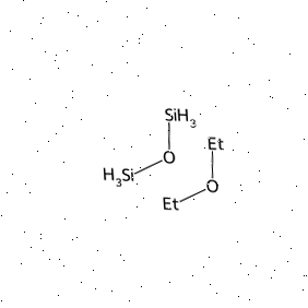 CCOCC.[SiH3]O[SiH3]